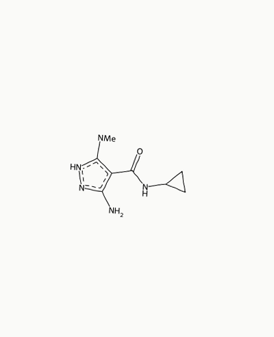 CNc1[nH]nc(N)c1C(=O)NC1CC1